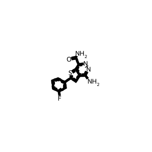 NC(=O)c1nnc(N)c2cc(-c3cccc(F)c3)sc12